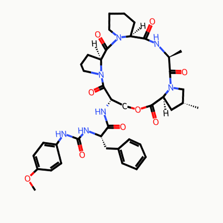 COc1ccc(NC(=O)N[C@@H](Cc2ccccc2)C(=O)N[C@H]2COC(=O)[C@@H]3C[C@@H](C)CN3C(=O)[C@H](C)NC(=O)[C@@H]3CCCCN3C(=O)[C@@H]3CCCN3C2=O)cc1